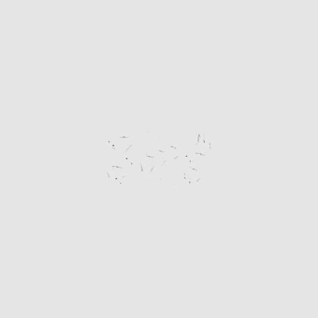 c1cncc(N(c2cccnc2)c2ccc3c(C45CC6CC(CC(C6)C4)C5)c4cc(N(c5cccnc5)c5cccnc5)ccc4c(C45CC6CC(CC(C6)C4)C5)c3c2)c1